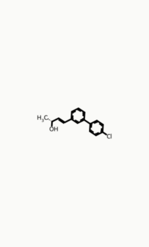 C[C@@H](O)/C=C/c1cccc(-c2ccc(Cl)cc2)c1